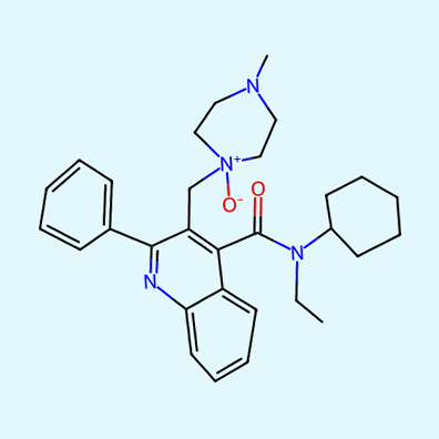 CCN(C(=O)c1c(C[N+]2([O-])CCN(C)CC2)c(-c2ccccc2)nc2ccccc12)C1CCCCC1